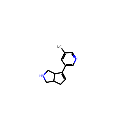 N#Cc1cncc(C2=CCC3CNCC23)c1